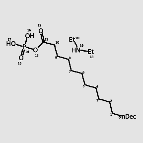 CCCCCCCCCCCCCCCCCCCCC(=O)OP(=O)(O)O.CCNCC